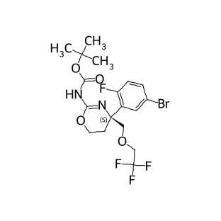 CC(C)(C)OC(=O)NC1=N[C@](COCC(F)(F)F)(c2cc(Br)ccc2F)CCO1